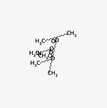 CCCCCCCC(CCCCCCC)OC(=O)CCCC(CCCC(=O)OC(CCCCCCC)CCCCCCC)OC(=O)CCCCCN(C)C